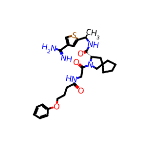 C[C@@H](NC(=O)[C@@H]1CC2(CCCC2)CN1C(=O)CNC(=O)CCCOc1ccccc1)c1cc(C(=N)N)cs1